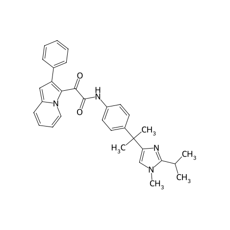 CC(C)c1nc(C(C)(C)c2ccc(NC(=O)C(=O)c3c(-c4ccccc4)cc4ccccn34)cc2)cn1C